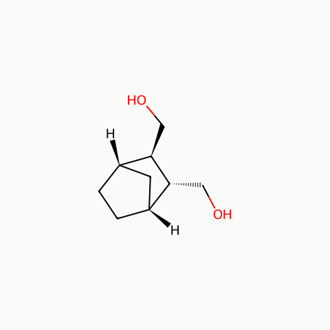 OC[C@@H]1[C@@H]2CC[C@@H](C2)[C@H]1CO